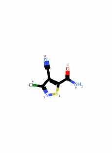 N#Cc1c(Cl)nsc1C(N)=O